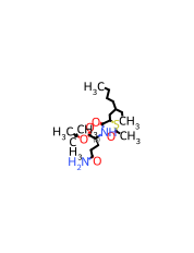 CCCCC(CC)CC(SC(C)=O)C(=O)N[C@@H](CCC(N)=O)C(=O)OC(C)(C)C